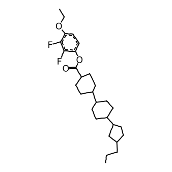 CCCC1CCC(C2CCC(C3CCC(C(=O)Oc4ccc(OCC)c(F)c4F)CC3)CC2)C1